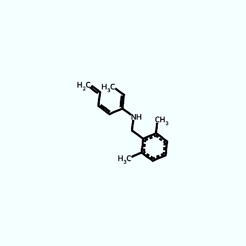 C=C/C=C\C(=C/C)NCc1c(C)cccc1C